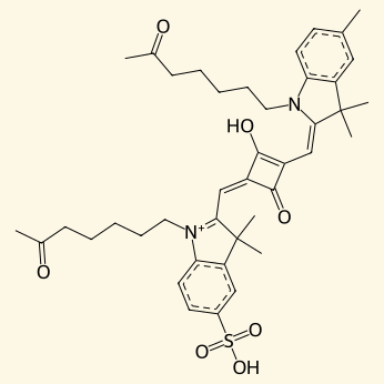 CC(=O)CCCCCN1C(=CC2=C(O)C(=CC3=[N+](CCCCCC(C)=O)c4ccc(S(=O)(=O)O)cc4C3(C)C)C2=O)C(C)(C)c2cc(C)ccc21